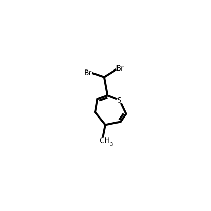 CC1C=CSC(C(Br)Br)=CC1